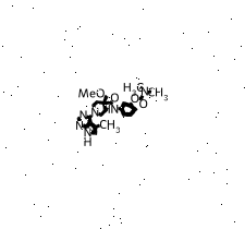 COCC1(C(=O)Nc2cccc(OC(=O)N(C)C)c2)CCN(c2ncnc3[nH]cc(C)c23)CC1